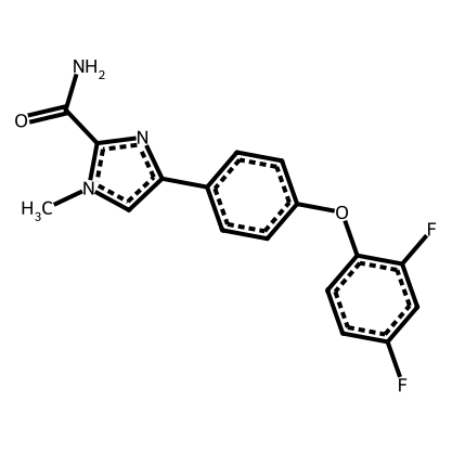 Cn1cc(-c2ccc(Oc3ccc(F)cc3F)cc2)nc1C(N)=O